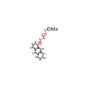 COCCOCCOc1cccc2cc3ccccc3cc12